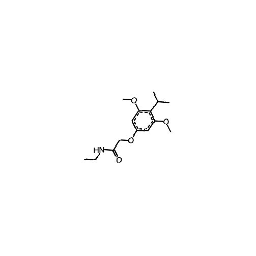 CCNC(=O)COc1cc(OC)c(C(C)C)c(OC)c1